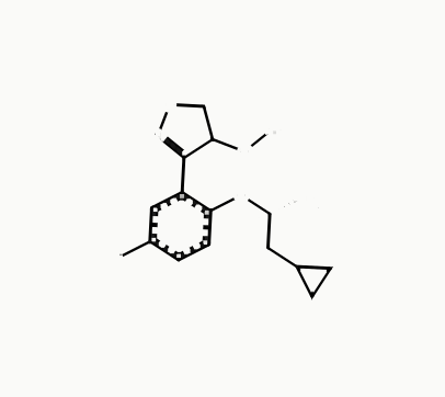 CCCCOC1CON=C1c1cc(Cl)ccc1O[C@@H](CC1CC1)C(=O)OCC